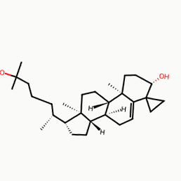 C[C@H](CCCC(C)(C)O)[C@H]1CC[C@H]2[C@@H]3CC=C4C5(CC5)[C@@H](O)CC[C@]4(C)[C@H]3CC[C@]12C